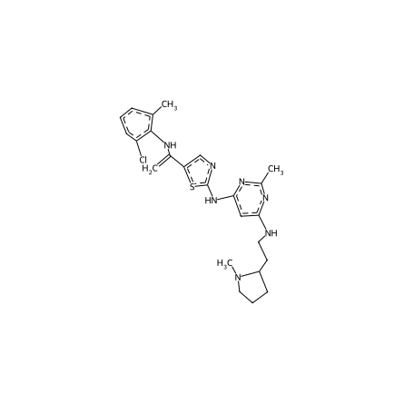 C=C(Nc1c(C)cccc1Cl)c1cnc(Nc2cc(NCCC3CCCN3C)nc(C)n2)s1